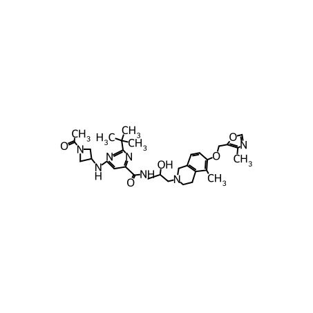 CC(=O)N1CC(Nc2cc(C(=O)NCC(O)CN3CCc4c(ccc(OCc5ocnc5C)c4C)C3)nc(C(C)(C)C)n2)C1